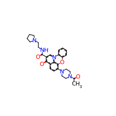 CC(=O)N1CCN(c2ccc3c(=O)c(C(=O)NCCN4CCCC4)cn4c3c2Oc2ccccc2-4)CC1